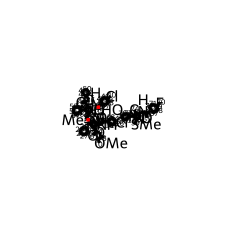 COCC(C)OC(=O)c1c(NC(=O)c2ccc(Cl)cc2)nc(SC)n1-c1ccccc1.CSc1nc(NC(=O)c2ccc(Cl)cc2)c(C(=O)OC2CCCC2)n1-c1ccccc1.CSc1nc(NC(=O)c2ccc(F)cc2)c(C(=O)O)n1-c1ccccc1